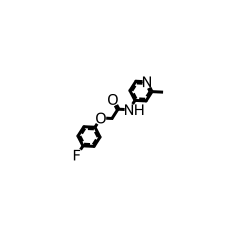 Cc1cc(NC(=O)COc2ccc(F)cc2)ccn1